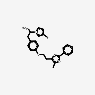 Cc1oc(-c2ccccc2)nc1CCOc1ccc(CC(C(=O)O)n2ccc(Br)c2)cc1